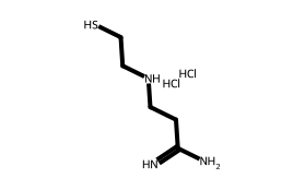 Cl.Cl.N=C(N)CCNCCS